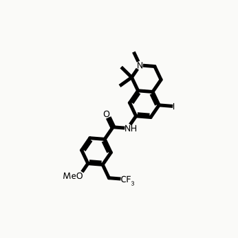 COc1ccc(C(=O)Nc2cc(I)c3c(c2)C(C)(C)N(C)CC3)cc1CC(F)(F)F